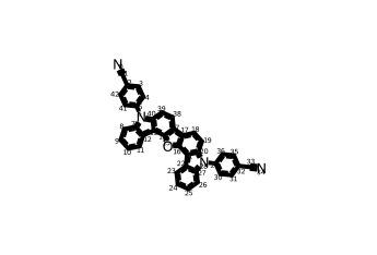 N#Cc1ccc(-n2c3ccccc3c3c4oc5c(ccc6c5c5ccccc5n6-c5ccc(C#N)cc5)c4ccc32)cc1